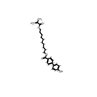 C=C(C)C(=O)OCCCCCCCCCCOC(=O)c1ccc(-c2ccc(O)cc2)cc1